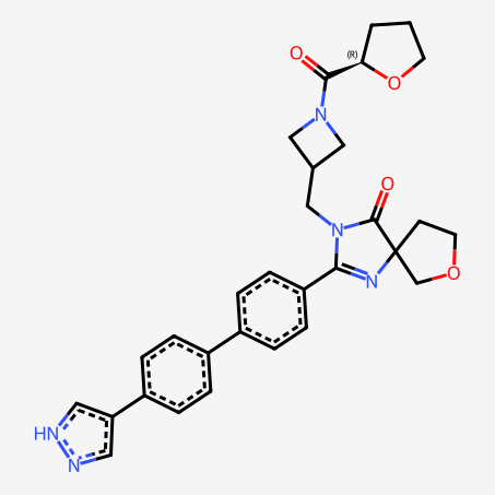 O=C([C@H]1CCCO1)N1CC(CN2C(=O)C3(CCOC3)N=C2c2ccc(-c3ccc(-c4cn[nH]c4)cc3)cc2)C1